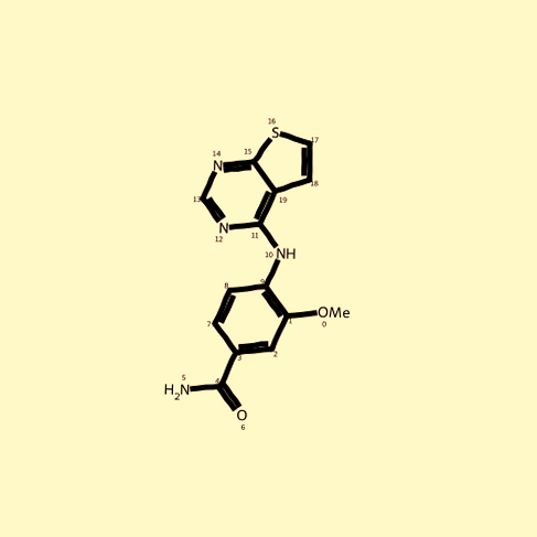 COc1cc(C(N)=O)ccc1Nc1ncnc2sccc12